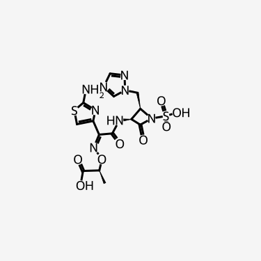 C[C@H](O/N=C(\C(=O)N[C@@H]1C(=O)N(S(=O)(=O)O)[C@@H]1Cn1cncn1)c1csc(N)n1)C(=O)O